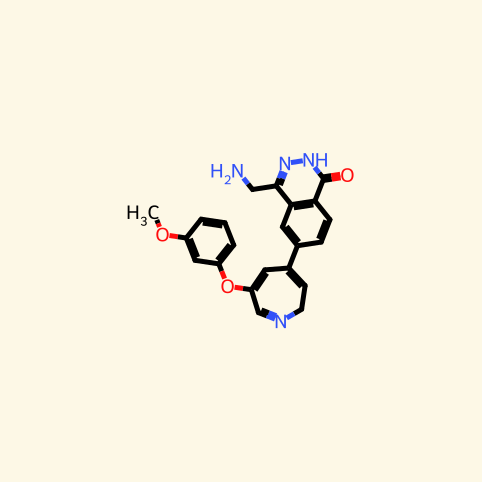 COc1cccc(OC2=CC(c3ccc4c(=O)[nH]nc(CN)c4c3)=CCN=C2)c1